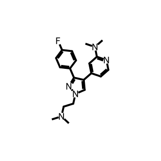 CN(C)CCn1cc(-c2ccnc(N(C)C)c2)c(-c2ccc(F)cc2)n1